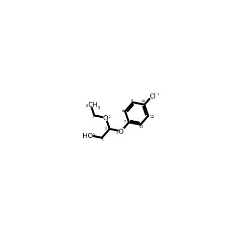 CCOC(CO)Oc1ccc(Cl)cc1